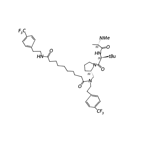 CN[C@@H](C)C(=O)N[C@H](C(=O)N1CCC[C@H]1CN(CCc1ccc(C(F)(F)F)cc1)C(=O)CCCCCCCCC(=O)NCCc1ccc(C(F)(F)F)cc1)C(C)(C)C